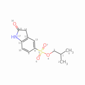 CC(C)COS(=O)(=O)c1ccc2c(c1)CC(=O)N2